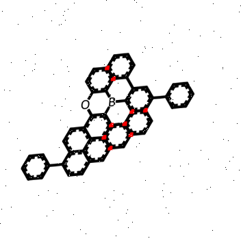 c1ccc(-c2cc(-c3ccccc3)c(B3c4ccccc4Oc4c3c(-c3ccccc3)c3ccc5ccc(-c6ccccc6)c6ccc4c3c56)c(-c3ccccc3)c2)cc1